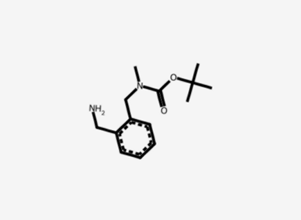 CN(Cc1ccccc1CN)C(=O)OC(C)(C)C